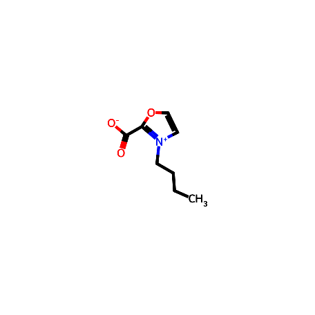 CCCC[n+]1ccoc1C(=O)[O-]